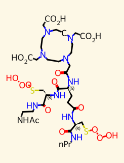 CCCNC(=O)[C@H](CSOOO)NC(=O)CC[C@H](NC(=O)CN1CCN(CC(=O)O)CCN(CC(=O)O)CCN(CC(=O)O)CC1)C(=O)N[C@@H](CSOOO)C(=O)NCCNC(C)=O